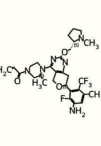 C=CC(=O)N1CCN(c2nc(OC[C@@H]3CCCN3C)nc3c2CO[C@H](c2c(F)c(N)cc(C)c2C(F)(F)F)C3)[C@@H](C)C1